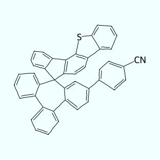 N#Cc1ccc(-c2ccc3c(c2)C2(c4ccccc4-c4ccccc4-3)c3ccccc3-c3c2ccc2c3sc3ccccc32)cc1